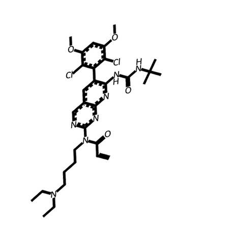 C=CC(=O)N(CCCCN(CC)CC)c1ncc2cc(-c3c(Cl)c(OC)cc(OC)c3Cl)c(NC(=O)NC(C)(C)C)nc2n1